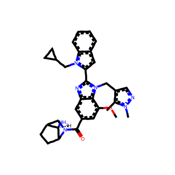 COc1cc(C(=O)N2CC3CCC2[C@@H]3N)cc2nc(-c3cc4ccccc4n3CC3CC3)n(Cc3cnn(C)c3C)c12